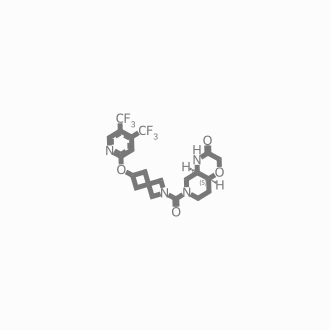 O=C1CO[C@H]2CCN(C(=O)N3CC4(CC(Oc5cc(C(F)(F)F)c(C(F)(F)F)cn5)C4)C3)C[C@H]2N1